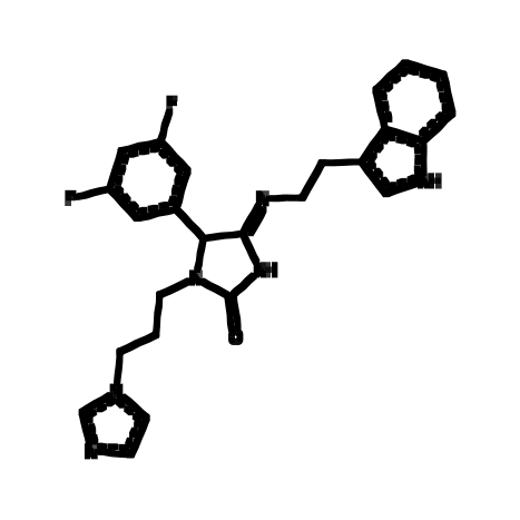 O=C1NC(=NCCc2c[nH]c3ccccc23)C(c2cc(F)cc(F)c2)N1CCCn1ccnc1